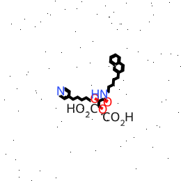 O=C(O)COC(C(=O)O)C(OCCCCCc1ccncc1)C(=O)NCCCCCc1ccc2ccccc2c1